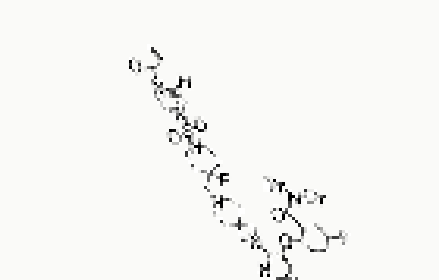 C=CC(=O)N1CC2C[C@H]1CN2S(=O)(=O)N1CCC(F)(CN2CCC3(CC2)CN(c2ncncc2Oc2ccc(F)cc2C(=O)N(C(C)C)C(C)C)C3)CC1